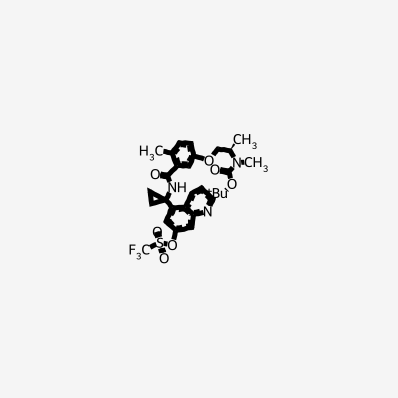 Cc1ccc(OC[C@H](C)N(C)C(=O)OC(C)(C)C)cc1C(=O)NC1(c2cc(OS(=O)(=O)C(F)(F)F)cc3ncccc23)CC1